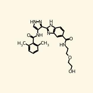 Cc1cccc(C)c1C(=O)Nc1c[nH]nc1-c1nc2cc(C(=O)NCCOCCO)ccc2[nH]1